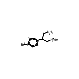 CNCC(CN)c1ccc(Br)cc1